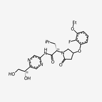 CCOc1cccc(OC2CC(=O)N([C@@H](CC(C)C)C(=O)Nc3cnc([C@H](O)CO)cn3)C2)c1F